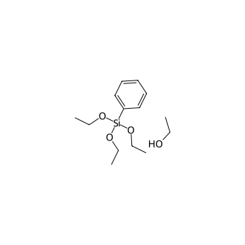 CCO.CCO[Si](OCC)(OCC)c1ccccc1